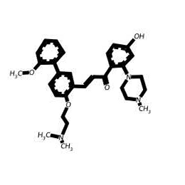 COc1ccccc1-c1ccc(OCCN(C)C)c(C=CC(=O)c2ccc(O)cc2N2CCN(C)CC2)c1